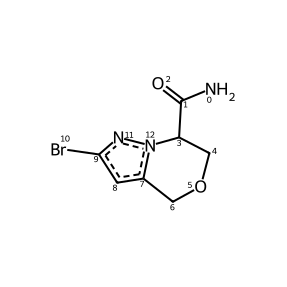 NC(=O)C1COCc2cc(Br)nn21